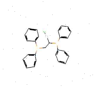 [Cl][Ni][CH](CP(c1ccccc1)c1ccccc1)P(c1ccccc1)c1ccccc1